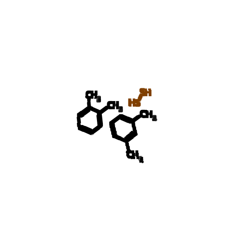 Cc1cccc(C)c1.Cc1ccccc1C.SS